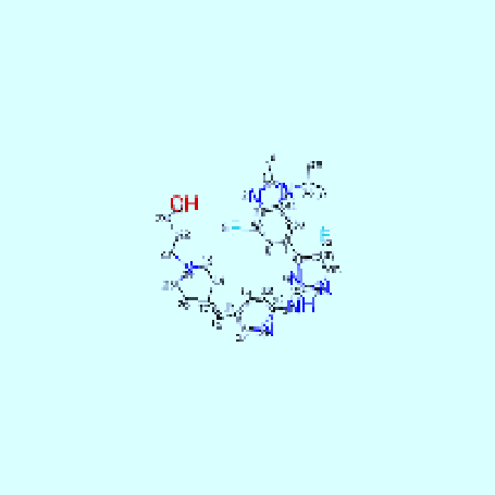 Cc1nc2c(F)cc(-c3nc(Nc4ccc(C=C5CCN(CCCO)CC5)cn4)ncc3F)cc2n1C(C)C